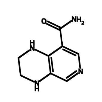 NC(=O)c1cncc2c1NCCN2